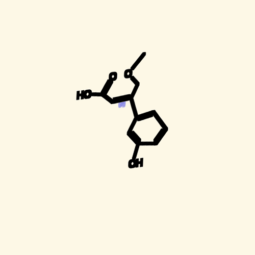 COC/C(=C\C(=O)O)c1cccc(O)c1